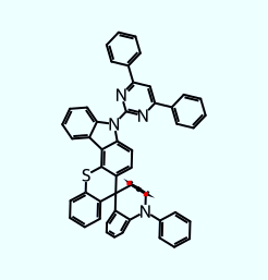 c1ccc(-c2cc(-c3ccccc3)nc(-n3c4ccccc4c4c5c(ccc43)C3(c4ccccc4S5)c4ccccc4N(c4ccccc4)c4ccccc43)n2)cc1